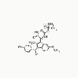 COc1ccc2c(c1)c([C@H](NC(=O)OC(C)(C)C)C(=O)O)c(C)n2C(=O)c1ccc(Cl)cc1